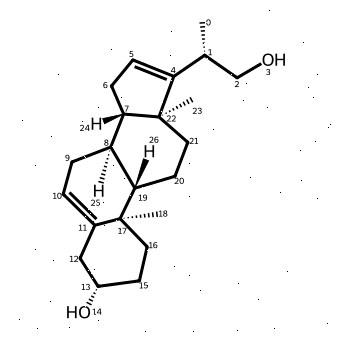 C[C@H](CO)C1=CC[C@H]2[C@@H]3CC=C4C[C@@H](O)CC[C@]4(C)[C@H]3CC[C@]12C